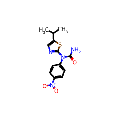 CC(C)c1cnc(N(C(N)=O)c2ccc([N+](=O)[O-])cc2)s1